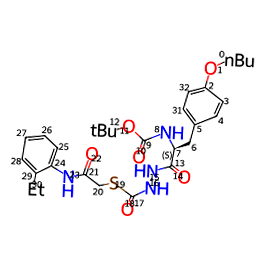 CCCCOc1ccc(C[C@H](NC(=O)OC(C)(C)C)C(=O)NNC(=O)SCC(=O)Nc2ccccc2CC)cc1